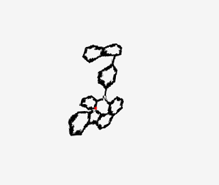 c1ccc(N(c2ccc(-c3cccc4ccccc34)cc2)c2cccc3ccc4c5ccccc5sc4c23)cc1